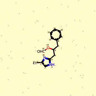 CCc1c[nH]c(CC(Cc2ccccc2)OC=O)n1